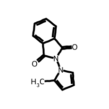 Cc1cccn1N1C(=O)c2ccccc2C1=O